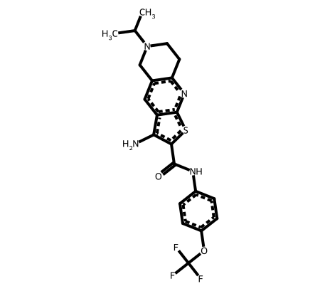 CC(C)N1CCc2nc3sc(C(=O)Nc4ccc(OC(F)(F)F)cc4)c(N)c3cc2C1